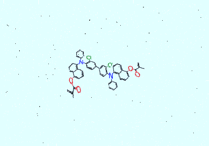 C=C(C)C(=O)Oc1cccc2c(N(c3ccccc3)c3ccc(-c4ccc(N(c5ccccc5)c5cccc6c(OC(=O)C(=C)C)cccc56)c(Cl)c4)cc3Cl)cccc12